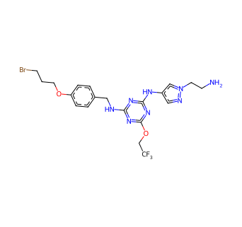 NCCn1cc(Nc2nc(NCc3ccc(OCCCBr)cc3)nc(OCC(F)(F)F)n2)cn1